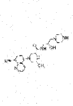 C[C@@H]1CN(c2ccc(C#N)c3ncccc23)C[C@H](C(=O)NCC(O)CN2CCNCC2)O1